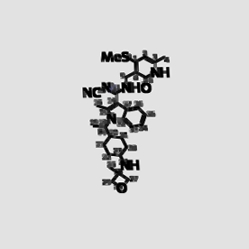 CSc1cc(C)[nH]c(=O)c1CN/C(=N/C#N)c1c(C)n([C@H](C)C2CCC(NC3(C)COC3)CC2)c2ccccc12